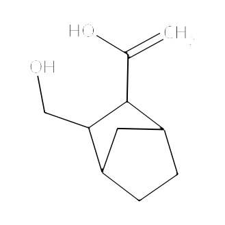 C=C(O)C1C2CCC(C2)C1CO